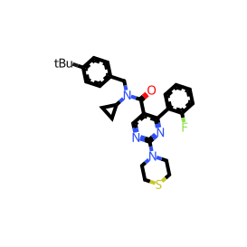 CC(C)(C)c1ccc(CN(C(=O)c2cnc(N3CCSCC3)nc2-c2ccccc2F)C2CC2)cc1